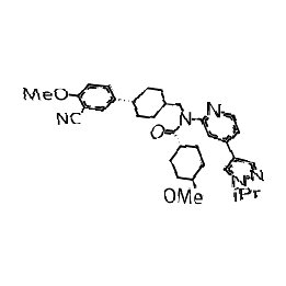 COc1ccc([C@H]2CC[C@H](CN(c3cc(-c4cnn(C(C)C)c4)ccn3)C(=O)[C@H]3CC[C@H](OC)CC3)CC2)cc1C#N